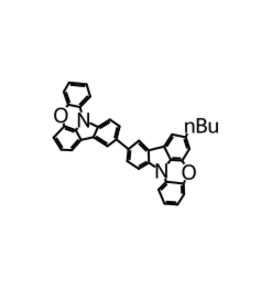 CCCCc1cc2c3c(c1)c1cc(-c4ccc5c(c4)c4cccc6c4n5-c4ccccc4O6)ccc1n3-c1ccccc1O2